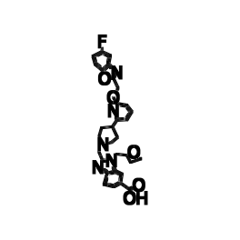 O=C(O)c1ccc2nc(CN3CCC(c4cccc(OCc5nc6cc(F)ccc6o5)n4)CC3)n(CC3CCO3)c2c1